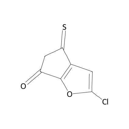 O=C1CC(=S)c2cc(Cl)oc21